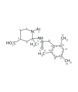 CC(=O)N1CCC(C(=O)O)CC1(C)NC(=O)Cc1c(C)cc(C)cc1C